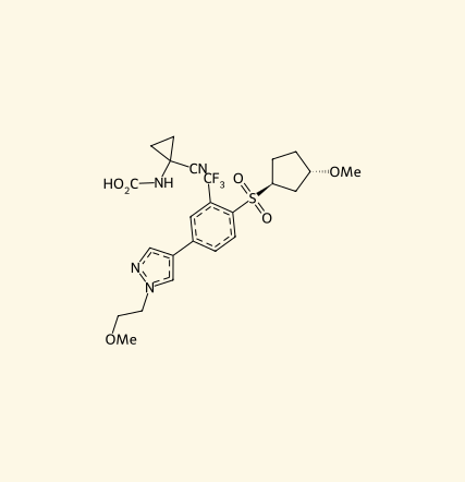 COCCn1cc(-c2ccc(S(=O)(=O)[C@H]3CC[C@H](OC)C3)c(C(F)(F)F)c2)cn1.N#CC1(NC(=O)O)CC1